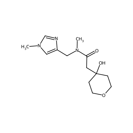 CN(Cc1cn(C)cn1)C(=O)CC1(O)CCOCC1